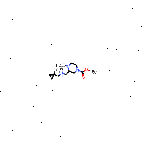 CCOC(=O)C1(CNCC2CN(C(=O)OC(C)(C)C)CCN2C(=O)O)CC1